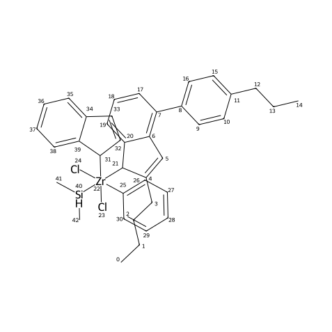 CCCCC1=Cc2c(-c3ccc(CCC)cc3)cccc2[CH]1[Zr]([Cl])([Cl])([c]1ccccc1)([CH]1C=Cc2ccccc21)[SiH](C)C